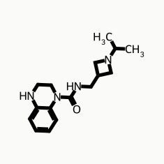 CC(C)N1CC(CNC(=O)N2CCNc3ccccc32)C1